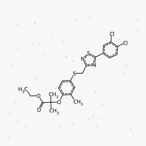 CCOC(=O)C(C)(C)Oc1ccc(SCc2nsc(-c3ccc(Cl)c(Cl)c3)n2)cc1C